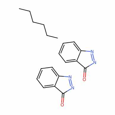 CCCCCC.O=C1N=Nc2ccccc21.O=C1N=Nc2ccccc21